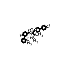 Cc1ccccc1-c1cc(C(=O)N[C@@H](C(=O)N2CCC(c3ccc(Cl)cc3)CC2)C(C)C)ccc1F